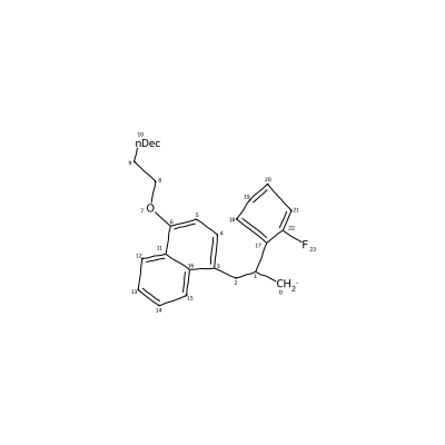 [CH2]C(Cc1ccc(OCCCCCCCCCCCC)c2ccccc12)c1ccccc1F